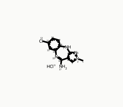 Cl.Cn1cc2c(n1)Nc1ccc(Cl)cc1N=C2N